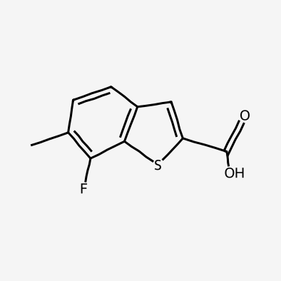 Cc1ccc2cc(C(=O)O)sc2c1F